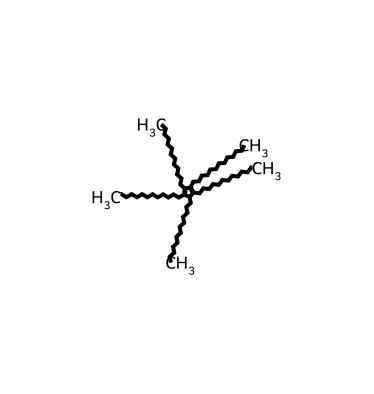 CCCCCCCCCCCCCC1=C(CCCCCCCCCCCCC)C(CCCCCCCCCCCCC)C(CCCCCCCCCCCCC)=C1CCCCCCCCCCCCC